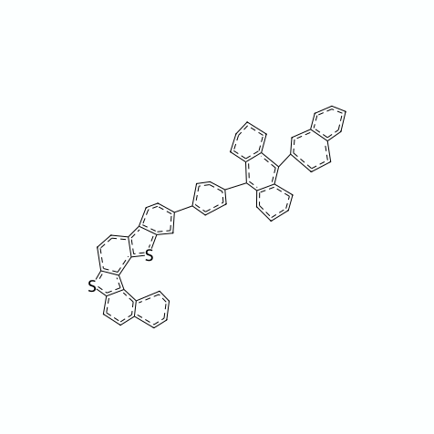 c1ccc2cc(-c3c4ccccc4c(-c4ccc(-c5ccc6c(c5)sc5c6ccc6sc7ccc8ccccc8c7c65)cc4)c4ccccc34)ccc2c1